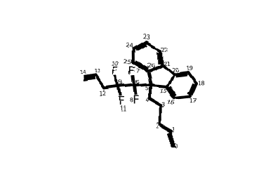 C=CCCCC1(C(F)(F)C(F)(F)CC=C)c2ccccc2-c2ccccc21